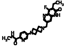 CCc1c(F)c2ncc(CN3CC4(C3)CN(c3ccc(C(=O)NC)nc3)C4)cc2[nH]c1=O